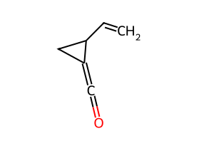 C=CC1CC1=C=O